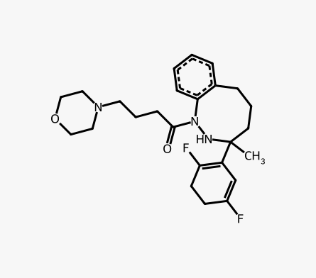 CC1(C2=C(F)CCC(F)=C2)CCCc2ccccc2N(C(=O)CCCN2CCOCC2)N1